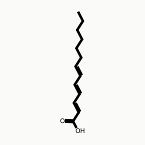 CCCCCCC=CC=CC=CC(=O)O